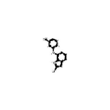 CCc1cc2cccc(Oc3cc[c]c(Cl)c3)c2o1